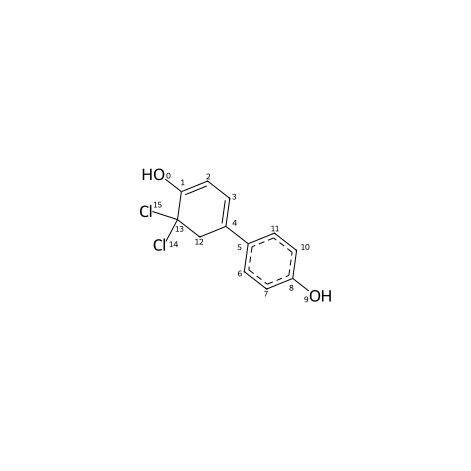 OC1=CC=C(c2ccc(O)cc2)CC1(Cl)Cl